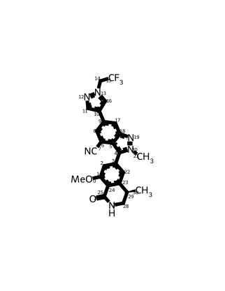 COc1cc(-c2c3c(C#N)cc(-c4cnn(CC(F)(F)F)c4)cc3nn2C)cc2c1C(=O)NC[C@@H]2C